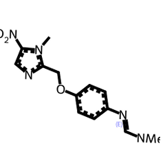 CN/C=N/c1ccc(OCc2ncc([N+](=O)[O-])n2C)cc1